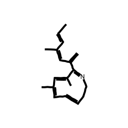 C=C(/C=C(C)\C=C\C)C1=N/CC/C=C/C=C(C)\C=C\1C